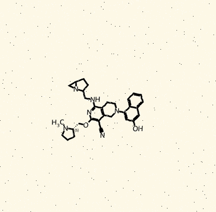 CN1CCC[C@H]1COc1nc(NCC2CCC3CN23)c2c(c1C#N)CN(c1cc(O)cc3ccccc13)CC2